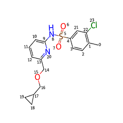 Cc1ccc(S(=O)(=O)Nc2cccc(COCC3CC3)n2)cc1Cl